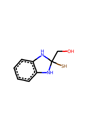 OCC1(S)Nc2ccccc2N1